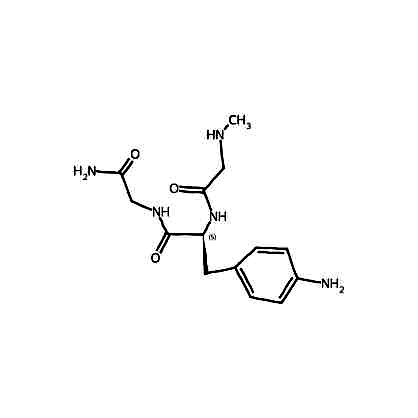 CNCC(=O)N[C@@H](Cc1ccc(N)cc1)C(=O)NCC(N)=O